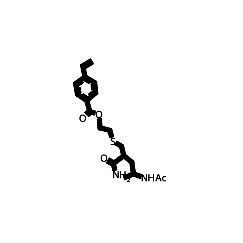 C=Cc1ccc(C(=O)OCCSCC(CC(C)NC(C)=O)C(N)=O)cc1